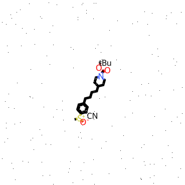 C[S+]([O-])c1ccc(CCCCC2CCN(C(=O)OC(C)(C)C)CC2)cc1C#N